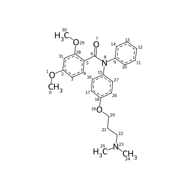 COc1ccc(C(=O)N(c2ccccc2)c2ccc(OCCCN(C)C)cc2)c(OC)c1